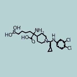 NC(CCCCB(O)O)(C(=O)O)C1CCN(C(Nc2ccc(Cl)c(Cl)c2)=C2CC2)CC1